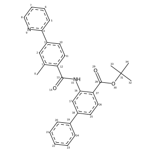 Cc1cc(-c2ccccn2)ccc1C(=O)Nc1cc(-c2ccccc2)ccc1C(=O)OC(C)(C)C